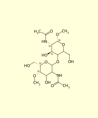 CO[C@@H]1OC(CO)C(OC2O[C@@H](CO)[C@@H](OC)C(O)C2NC(C)=O)[C@@H](O)[C@@H]1NC(C)=O